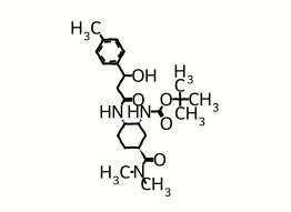 Cc1ccc(C(O)CC(=O)N[C@H]2CC[C@H](C(=O)N(C)C)C[C@H]2NC(=O)OC(C)(C)C)cc1